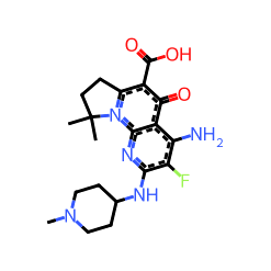 CN1CCC(Nc2nc3c(c(N)c2F)c(=O)c(C(=O)O)c2n3C(C)(C)CC2)CC1